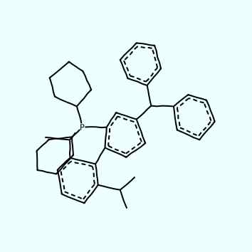 CC(C)c1cccc(C(C)C)c1-c1ccc(C(c2ccccc2)c2ccccc2)cc1P(C1CCCCC1)C1CCCCC1